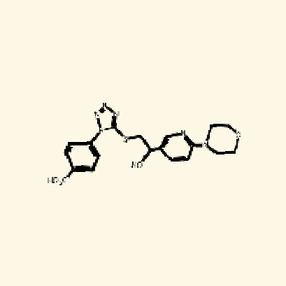 O=C(O)c1ccc(-n2nnnc2SCC(O)c2ccc(N3CCOCC3)nc2)cc1